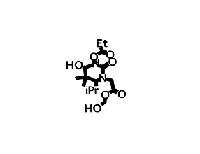 CCC(=O)ON1C(=O)N(CC(=O)OCO)C(C(C)C)C(C)(C)C1O